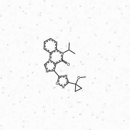 COC1(c2noc(-c3ncn4c3c(=O)n(C(C)C)c3ccccc34)n2)CC1